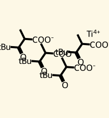 CC(C(=O)[O-])C(=O)C(C)(C)C.CC(C(=O)[O-])C(=O)C(C)(C)C.CC(C(=O)[O-])C(=O)C(C)(C)C.CC(C(=O)[O-])C(=O)C(C)(C)C.[Ti+4]